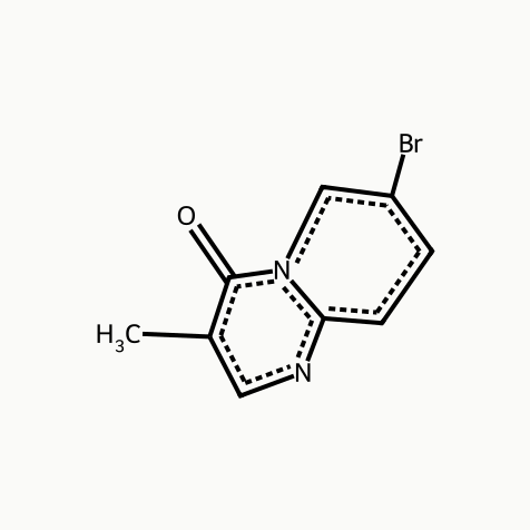 Cc1cnc2ccc(Br)cn2c1=O